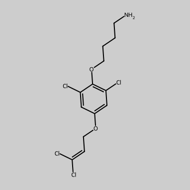 NCCCCOc1c(Cl)cc(OCC=C(Cl)Cl)cc1Cl